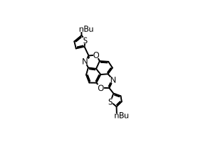 CCCCc1ccc(C2=Nc3ccc4c5c(ccc(c35)O2)N=C(c2ccc(CCCC)s2)O4)s1